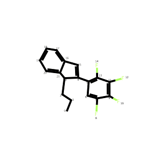 CCC[C]1C(c2cc(F)c(F)c(F)c2F)=Cc2ccccc21